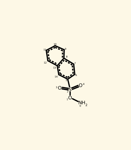 NOS(=O)(=O)c1ccc2ccccc2c1